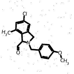 COc1ccc(CN2Cc3cc(Cl)cc(C)c3C2C=O)cc1